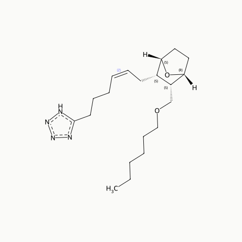 CCCCCCOC[C@@H]1[C@H](C/C=C\CCCc2nnn[nH]2)[C@@H]2CC[C@H]1O2